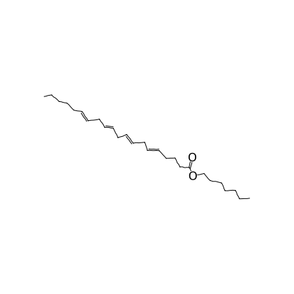 CCCCCC=CCC=CCC=CCC=CCCCC(=O)OCCCCCCC